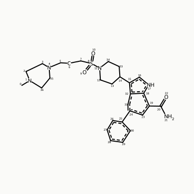 CN1CCN(CCCS(=O)(=O)N2CCC(c3c[nH]c4c(C(N)=O)cc(-c5ccccc5)cc34)CC2)CC1